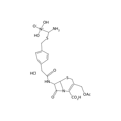 CC(=O)OCC1=C(C(=O)O)N2C(=O)C(NC(=O)Cc3ccc(CSC(N)[N+]([O-])(O)O)cc3)C2SC1.Cl